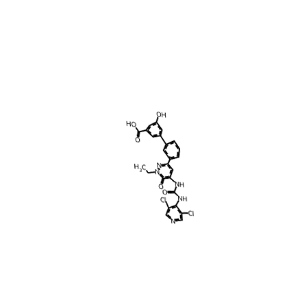 CCn1nc(-c2cccc(-c3cc(O)cc(C(=O)O)c3)c2)cc(NC(=O)Nc2c(Cl)cncc2Cl)c1=O